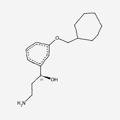 NCC[C@H](O)c1cccc(OCC2CCCCCC2)c1